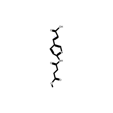 COC(=O)CCC(=O)Nc1ccc(/C=C/C(=O)O)cn1